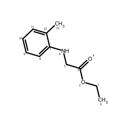 CCOC(=O)CNc1ccccc1C